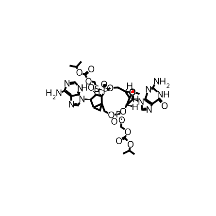 CO[C@H]1[C@H]2O[P@](=O)(OCOC(=O)OC(C)C)OCC34CC3[C@@H](n3cnc5c(N)ncnc53)[C@H](O)[C@@H]4[P@@](=O)(SCOC(=O)OC(C)C)OC[C@H]1O[C@H]2n1cnc2c(=O)[nH]c(N)nc21